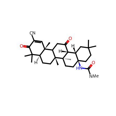 CNC(=O)N[C@]12CCC(C)(C)C[C@H]1[C@H]1C(=O)CC3[C@@]4(C)C=C(C#N)C(=O)C(C)(C)[C@@H]4CC[C@@]3(C)[C@]1(C)CC2